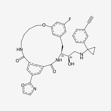 C#Cc1cccc(C2(NC[C@@H](O)[C@@H]3Cc4cc(F)cc(c4)OCCCCNC(=O)c4cc(cc(-c5ncco5)c4)C(=O)N3)CC2)c1